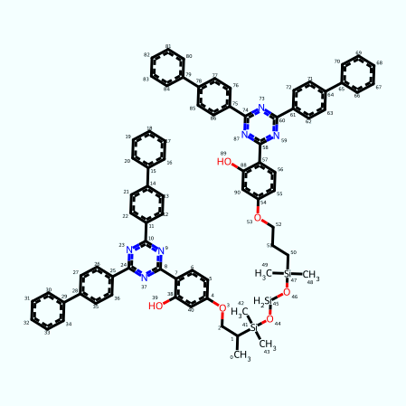 CC(COc1ccc(-c2nc(-c3ccc(-c4ccccc4)cc3)nc(-c3ccc(-c4ccccc4)cc3)n2)c(O)c1)[Si](C)(C)O[SiH2]O[Si](C)(C)CCCOc1ccc(-c2nc(-c3ccc(-c4ccccc4)cc3)nc(-c3ccc(-c4ccccc4)cc3)n2)c(O)c1